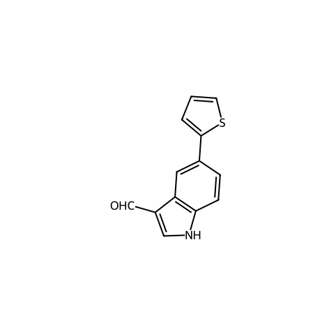 O=Cc1c[nH]c2ccc(-c3cccs3)cc12